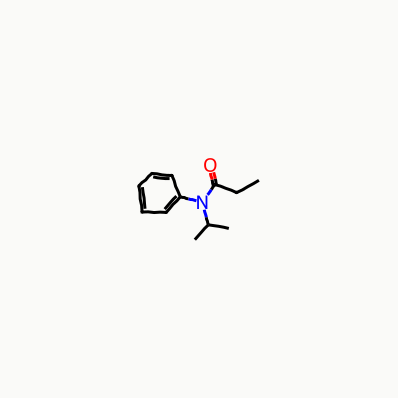 CCC(=O)N(c1ccccc1)C(C)C